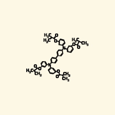 C=C(C)C(=O)Oc1cccc(N(c2ccc(-c3ccc(N(c4cccc(OC(=O)C(=C)C)c4)c4cccc(OC(=O)C(=C)C)c4)cc3)cc2)c2cccc(OC(=O)C(=C)C)c2)c1